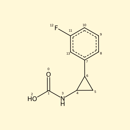 O=C(O)NC1CC1c1cccc(F)c1